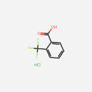 Cl.O=C(O)c1ccccc1C(F)(F)F